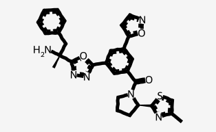 Cc1csc([C@H]2CCCN2C(=O)c2cc(-c3ccno3)cc(-c3nnc([C@](C)(N)Cc4ccccc4)o3)c2)n1